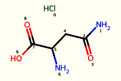 Cl.NC(=O)CC(N)C(=O)O